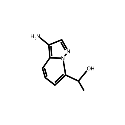 CC(O)c1cccc2c(N)cnn12